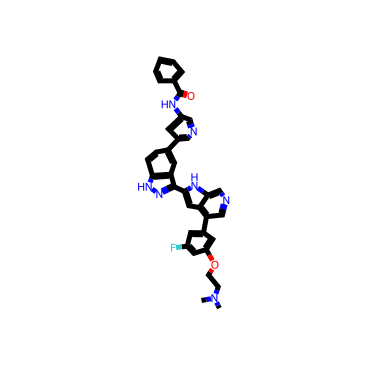 CN(C)CCOc1cc(F)cc(-c2cncc3[nH]c(-c4n[nH]c5ccc(-c6cncc(NC(=O)c7ccccc7)c6)cc45)cc23)c1